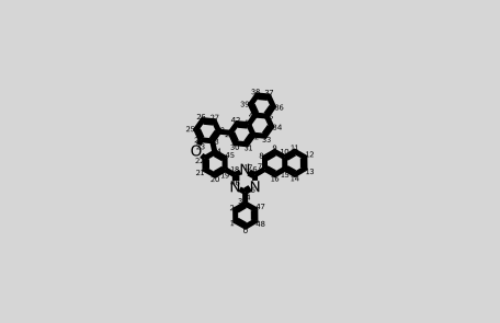 c1ccc(-c2nc(-c3ccc4ccccc4c3)nc(-c3ccc4oc5cccc(-c6ccc7ccc8ccccc8c7c6)c5c4c3)n2)cc1